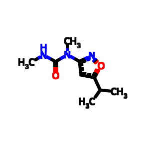 CNC(=O)N(C)c1cc(C(C)C)on1